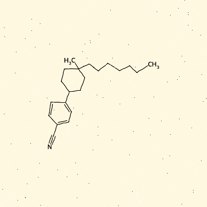 CCCCCCCC1(C)CCC(c2ccc(C#N)cc2)CC1